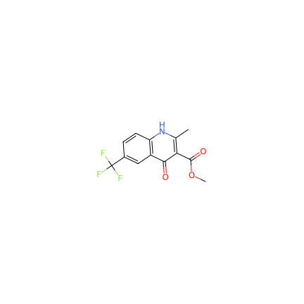 COC(=O)c1c(C)[nH]c2ccc(C(F)(F)F)cc2c1=O